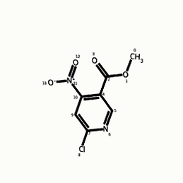 COC(=O)c1cnc(Cl)cc1[N+](=O)[O-]